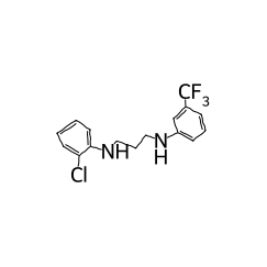 FC(F)(F)c1cccc(NCCCNc2ccccc2Cl)c1